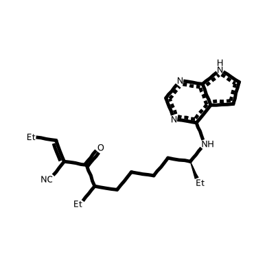 CC/C=C(\C#N)C(=O)C(CC)CCCC[C@H](CC)Nc1ncnc2[nH]ccc12